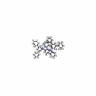 c1ccc(-c2cc(-c3ccccc3)cc(-n3c4ccc5c6ccccc6n(-c6cc(-c7ccccc7)cc(-c7ccccc7)c6)c5c4c4cccnc43)c2)cc1